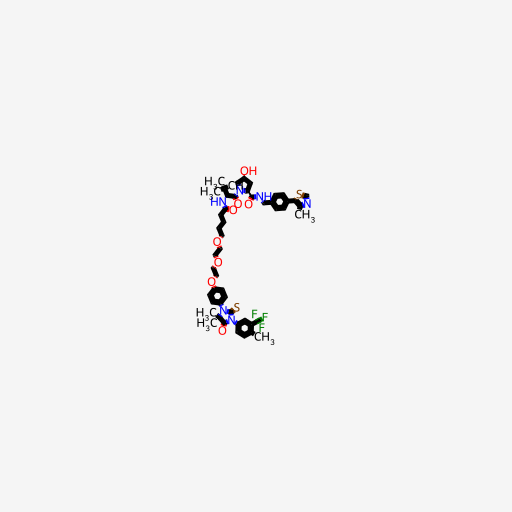 Cc1ccc(N2C(=O)C(C)(C)N(c3ccc(OCCOCCOCCCCC(=O)N[C@H](C(=O)N4C[C@H](O)C[C@H]4C(=O)NCc4ccc(-c5scnc5C)cc4)C(C)(C)C)cc3)C2=S)cc1C(F)(F)F